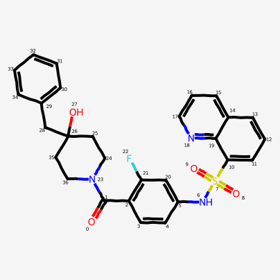 O=C(c1ccc(NS(=O)(=O)c2cccc3cccnc23)cc1F)N1CCC(O)(Cc2ccccc2)CC1